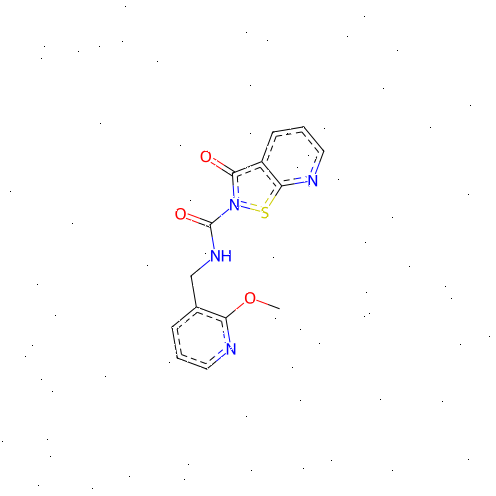 COc1ncccc1CNC(=O)n1sc2ncccc2c1=O